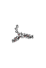 O=C(c1csc(-c2ccc(-c3ccc(-c4ccc(-c5cccs5)s4)s3)s2)c1C(=O)C(F)(F)OC(F)(F)C(F)(F)OC(F)(F)C(F)(F)OC(F)(F)F)C(F)(F)OC(F)(F)C(F)(F)OC(F)(F)C(F)(F)OC(F)(F)F